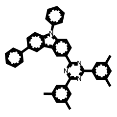 Cc1cc(C)cc(-c2nc(-c3cc(C)cc(C)c3)nc(-c3ccc4c(c3)c3cc(-c5ccccc5)ccc3n4-c3ccccc3)n2)c1